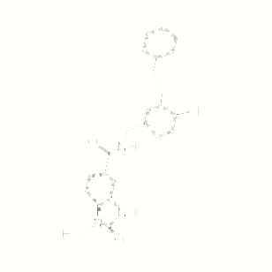 Cn1c(=O)[nH]c2cc(C(=O)NCc3ccc(C(F)(F)F)c(OCc4ccccc4)c3)ccc21